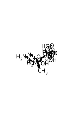 CC#CC1(N)[C@@H](O)[C@@H]([C@H](C)OP(=O)(O)OP(=O)(O)OP(=O)(O)O)O[C@H]1n1cnc(N)nc1=O